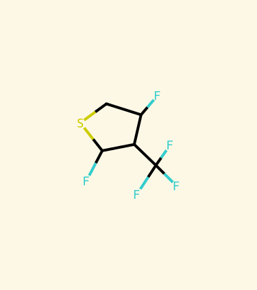 FC1CSC(F)C1C(F)(F)F